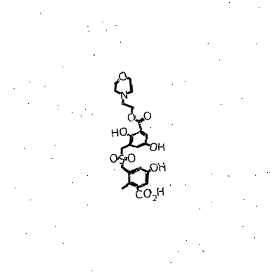 Cc1c(CS(=O)(=O)Cc2cc(O)cc(C(=O)OCCN3CCOCC3)c2O)cc(O)cc1C(=O)O